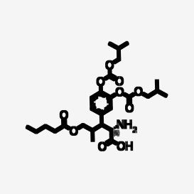 CCCCC(=O)OCC(C)C(c1ccc(OC(=O)OCC(C)C)c(OC(=O)OCC(C)C)c1)[C@H](N)C(=O)O